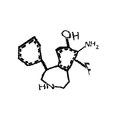 Nc1c(O)cc2c(c1F)CCNCC2c1ccccc1